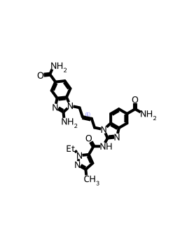 CCn1nc(C)cc1C(=O)Nc1nc2cc(C(N)=O)ccc2n1C/C=C/Cn1c(N)nc2cc(C(N)=O)ccc21